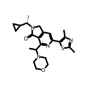 Cc1nc(C)c(-c2cc3c(c(C(C)N4CCOCC4)n2)C(=O)N([C@@H](C)C2CC2)C3)s1